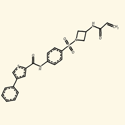 C=CC(=O)NC1CN(S(=O)(=O)c2ccc(NC(=O)c3cc(-c4ccccc4)cs3)cc2)C1